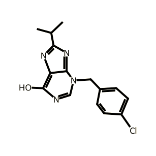 CC(C)c1nc2c(O)ncn(Cc3ccc(Cl)cc3)c-2n1